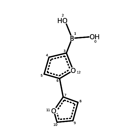 OB(O)c1ccc(-c2ccco2)o1